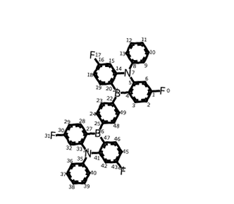 Fc1ccc2c(c1)N(c1ccccc1)c1cc(F)ccc1B2c1ccc(B2c3ccc(F)cc3N(c3ccccc3)c3cc(F)ccc32)cc1